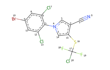 N#Cc1cn(-c2c(Cl)cc(Br)cc2Cl)cc1SC(F)(F)Cl